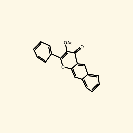 CC(=O)Oc1c(-c2ccccc2)oc2cc3ccccc3cc2c1=O